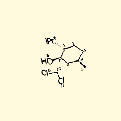 CC(C)[C@@H]1CC[C@@H](C)C[C@H]1O.ClCCl